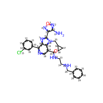 Nc1nonc1-c1nc2c(-c3cccc(Cl)c3)ncc(C(=O)NCCNCc3ccccc3)c2n1CC1CC1